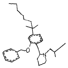 CCCCCCC(C)(C)c1ccc(C2CCCCN2CC(C)C)c(OCc2ccccc2)c1